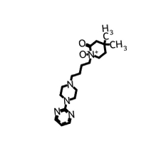 CC1(C)CC[N+]([O-])(CCCCN2CCN(c3ncccn3)CC2)C(=O)C1